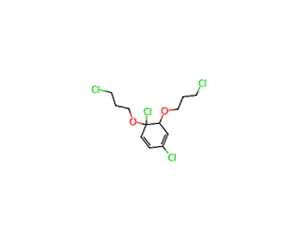 ClCCCOC1C=C(Cl)C=CC1(Cl)OCCCCl